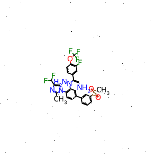 Cc1nc(C(F)F)cn1-c1ccc(-c2cccc(S(C)(=O)=O)c2)cc1N(N)/C(=C\N)c1ccc(OC(F)(F)F)c(F)c1